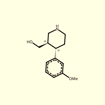 COc1cccc([C@H]2CCNC[C@@H]2CO)c1